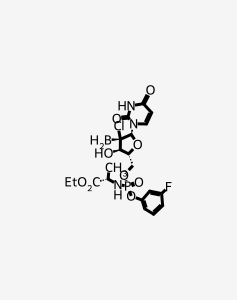 B[C@]1(Cl)[C@H](O)[C@@H](COP(=O)(N[C@@H](C)C(=O)OCC)Oc2cccc(F)c2)O[C@H]1n1ccc(=O)[nH]c1=O